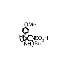 COc1ccc(NC2(C(N)=O)CCN(C(=O)O)C(C(C)(C)C)C2)cc1